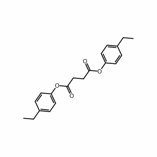 CCc1ccc(OC(=O)CCC(=O)Oc2ccc(CC)cc2)cc1